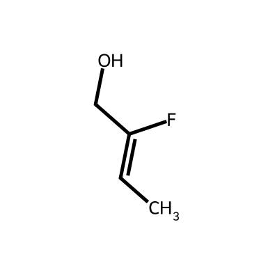 C/C=C(\F)CO